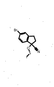 N#CC1(OSI)CCc2cc(Br)ccc21